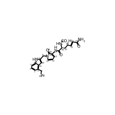 CC(C)Cc1cccc2[nH]c(Cn3cccc(NC(=O)[C@H](CC/C=C/C(N)=O)NC(=O)O)c3=O)cc12